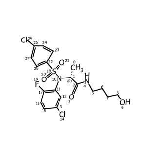 C[C@H](C(=O)NCCCCO)N(c1cc(Cl)ccc1F)S(=O)(=O)c1ccc(Cl)cc1